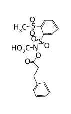 CS(=O)(=O)c1ccccc1S(=O)(=O)N(OC(=O)CCc1ccccc1)C(=O)O